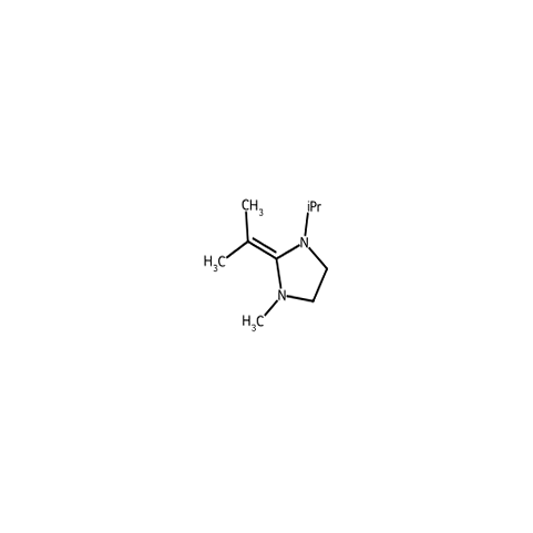 CC(C)=C1N(C)CCN1C(C)C